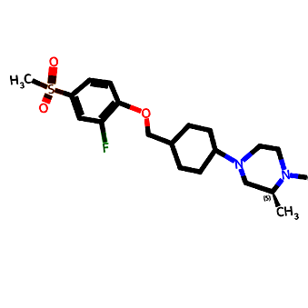 C[C@H]1CN(C2CCC(COc3ccc(S(C)(=O)=O)cc3F)CC2)CCN1C#N